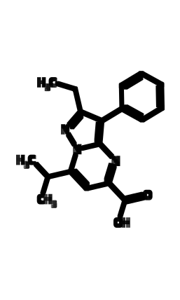 CCc1nn2c(C(C)C)cc(C(=O)O)nc2c1-c1ccccc1